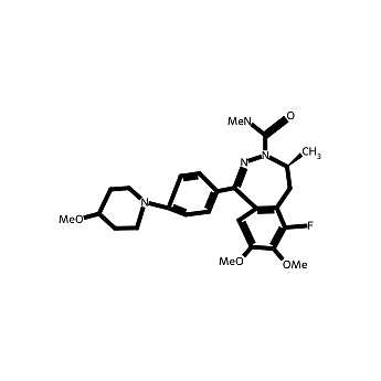 CNC(=O)N1N=C(c2ccc(N3CCC(OC)CC3)cc2)c2cc(OC)c(OC)c(F)c2C[C@@H]1C